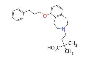 CC(C)(CCN1CCc2cccc(OCCCc3ccccc3)c2CC1)C(=O)O